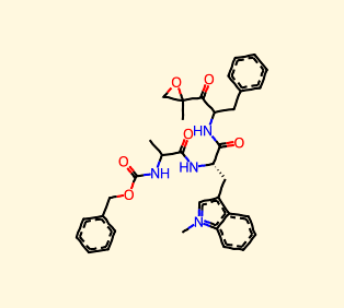 CC(NC(=O)OCc1ccccc1)C(=O)N[C@@H](Cc1cn(C)c2ccccc12)C(=O)NC(Cc1ccccc1)C(=O)C1(C)CO1